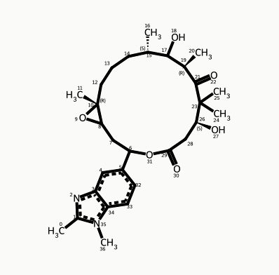 Cc1nc2cc(C3CC4O[C@]4(C)CCC[C@H](C)C(O)[C@@H](C)C(=O)C(C)(C)[C@@H](O)CC(=O)O3)ccc2n1C